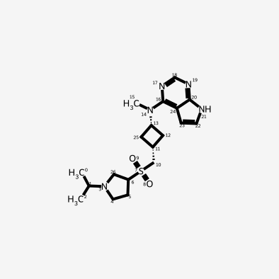 CC(C)N1CCC(S(=O)(=O)C[C@H]2C[C@@H](N(C)c3ncnc4[nH]ccc34)C2)C1